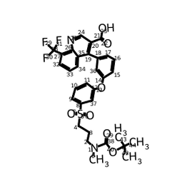 CN(CCCS(=O)(=O)c1cccc(Oc2cccc(-c3c(C(=O)O)cnc4c(C(F)(F)F)cccc34)c2)c1)C(=O)OC(C)(C)C